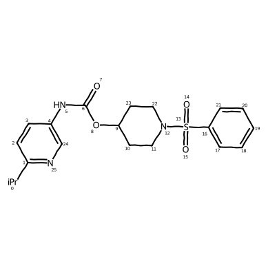 CC(C)c1ccc(NC(=O)OC2CCN(S(=O)(=O)c3ccccc3)CC2)cn1